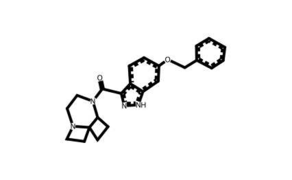 O=C(c1n[nH]c2cc(OCc3ccccc3)ccc12)N1CCN2CCC23CCC13